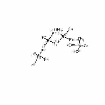 CS(=O)(=O)O.F[B-](F)(F)F.F[B-](F)(F)F.F[B-](F)(F)F.[LiH]